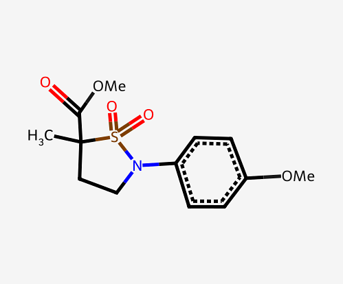 COC(=O)C1(C)CCN(c2ccc(OC)cc2)S1(=O)=O